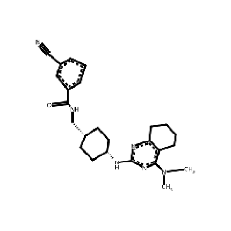 CN(C)c1nc(N[C@H]2CC[C@@H](CNC(=O)c3cccc(C#N)c3)CC2)nc2c1CCCC2